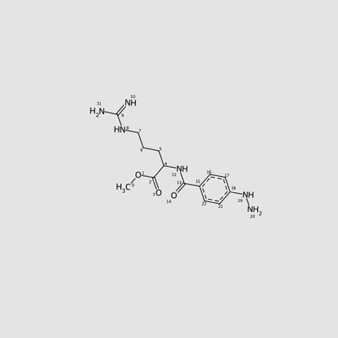 COC(=O)C(CCCNC(=N)N)NC(=O)c1ccc(NN)cc1